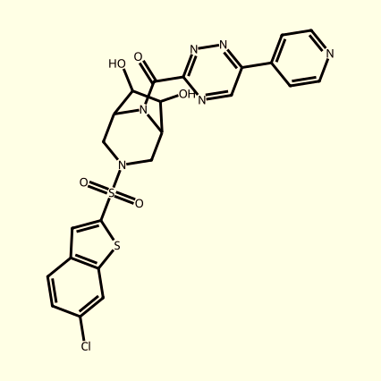 O=C(c1ncc(-c2ccncc2)nn1)N1C2CN(S(=O)(=O)c3cc4ccc(Cl)cc4s3)CC1C(O)C2O